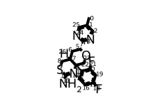 Cc1cnc([C@H]2C[C@H]3CSC(N)=N[C@@]3(c3ccc(F)cc3F)CO2)nc1